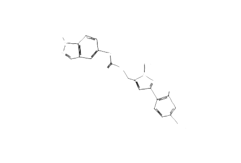 Cc1ccc(-c2cc(COC(=O)Nc3ccc4c(cnn4C)c3)n(C)n2)c(C)c1